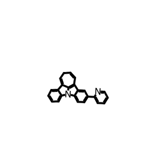 C1=Cc2c3cc(-c4ccccn4)ccc3n3c2c(c2ccccc23)=CC1